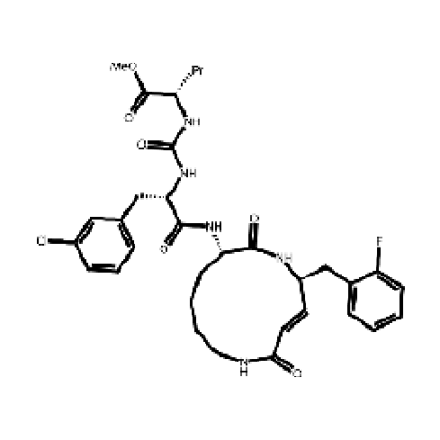 COC(=O)[C@@H](NC(=O)N[C@@H](Cc1cccc(Cl)c1)C(=O)N[C@H]1CCCCNC(=O)/C=C/[C@H](Cc2ccccc2F)NC1=O)C(C)C